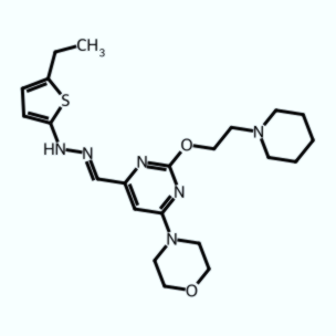 CCc1ccc(NN=Cc2cc(N3CCOCC3)nc(OCCN3CCCCC3)n2)s1